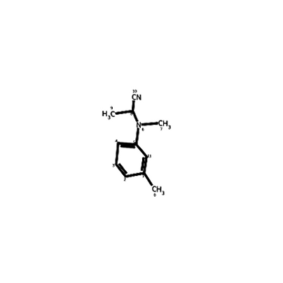 Cc1cccc(N(C)C(C)C#N)c1